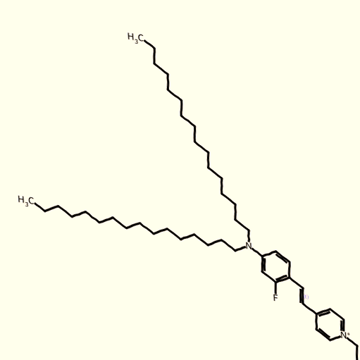 CCCCCCCCCCCCCCCCN(CCCCCCCCCCCCCCCC)c1ccc(/C=C/c2cc[n+](CCCC)cc2)c(F)c1